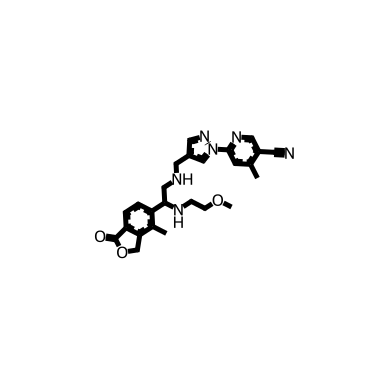 COCCNC(CNCc1cnn(-c2cc(C)c(C#N)cn2)c1)c1ccc2c(c1C)COC2=O